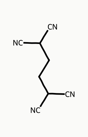 N#CC(C#N)CCC(C#N)C#N